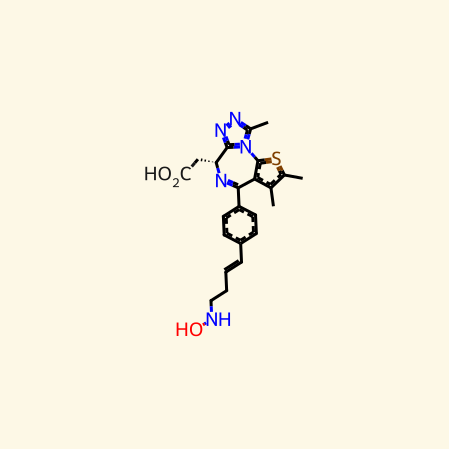 Cc1sc2c(c1C)C(c1ccc(C=CCCNO)cc1)=N[C@H](CC(=O)O)c1nnc(C)n1-2